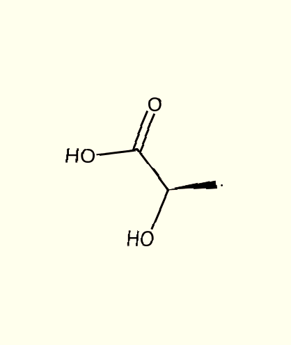 [CH2][C@@H](O)C(=O)O